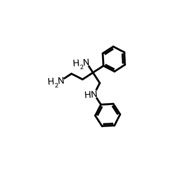 NCCC(N)(CNc1ccccc1)c1ccccc1